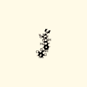 CCN(CC)c1nc(N[C@@H](Cc2ccc(NC(=O)c3c(Cl)cncc3Cl)cc2)C(=O)O)nc(OC)n1